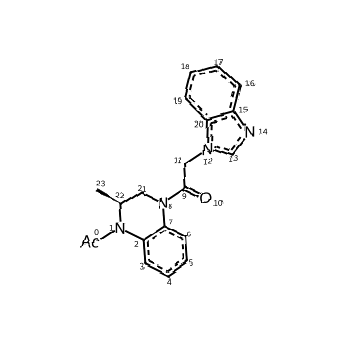 CC(=O)N1c2ccccc2N(C(=O)Cn2cnc3ccccc32)C[C@@H]1C